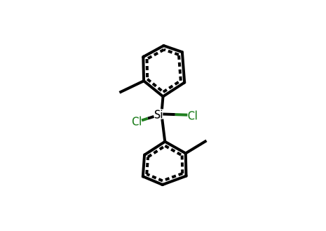 Cc1ccccc1[Si](Cl)(Cl)c1ccccc1C